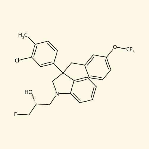 Cc1ccc(C2(Cc3cccc(OC(F)(F)F)c3)CN(C[C@@H](O)CF)c3ccccc32)cc1Cl